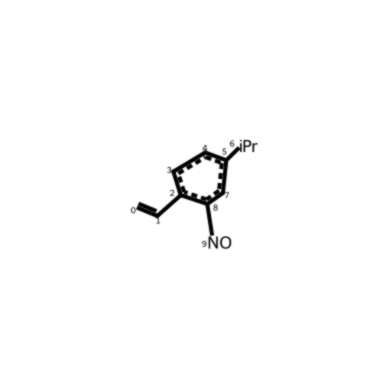 C=Cc1ccc(C(C)C)cc1N=O